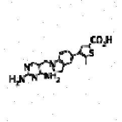 Cc1sc(C(=O)O)cc1-c1ccc2c(c1)CCN2Cc1cnc(N)nc1N